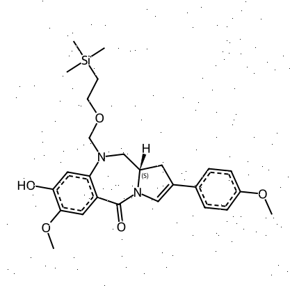 COc1ccc(C2=CN3C(=O)c4cc(OC)c(O)cc4N(COCC[Si](C)(C)C)C[C@@H]3C2)cc1